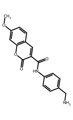 COc1ccc2cc(C(=O)Nc3ccc(CN)cc3)c(=O)oc2c1